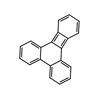 c1ccc2c(c1)=c1c=2c2ccccc2c2ccccc12